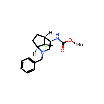 CC(C)(C)OC(=O)N[C@H]1CN(Cc2ccccc2)[C@H]2CC[C@@H]1[C@@H]2F